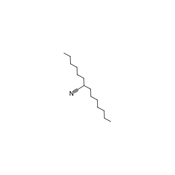 CCCCCCCC(C#N)CCCCCC